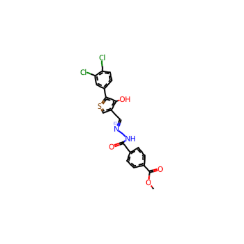 COC(=O)c1ccc(C(=O)N/N=C/c2csc(-c3ccc(Cl)c(Cl)c3)c2O)cc1